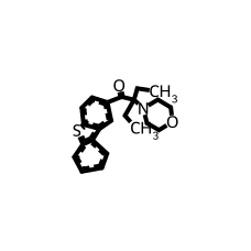 CCC(CC)(C(=O)c1ccc2sc3ccccc3c2c1)N1CCOCC1